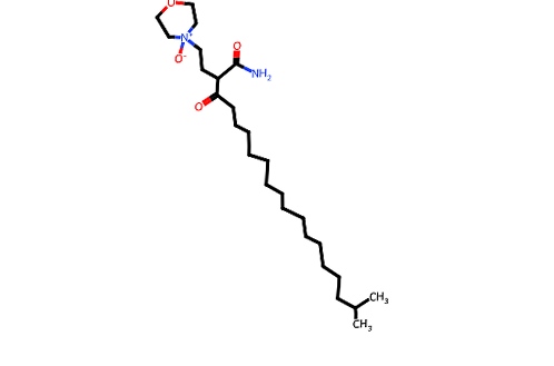 CC(C)CCCCCCCCCCCCCCC(=O)C(CC[N+]1([O-])CCOCC1)C(N)=O